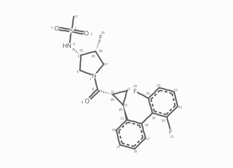 CS(=O)(=O)N[C@H]1CN(C(=O)[C@@H]2C[C@H]2c2ccccc2-c2c(F)cccc2F)C[C@H]1F